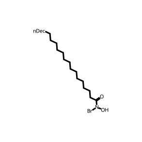 CCCCCCCCCCCCCCCCCCCCCCCCC(=O)N(O)Br